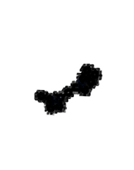 CC1C=C(c2ccc(-c3ccc4c(c3)c3ccccc3n4-c3ccc4c(c3)C(c3ccccc3)(c3ccccc3)c3ccccc3-4)cc2)C=C2c3cccc4c3N(c3ccc(-c5ccccc5)cc3-c3ccccc3-4)C21